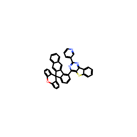 c1cncc(-c2nc(-c3cccc4c3-c3cc5ccccc5cc3C43c4ccccc4Oc4ccccc43)c3sc4ccccc4c3n2)c1